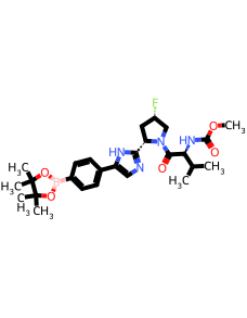 COC(=O)N[C@H](C(=O)N1C[C@@H](F)C[C@H]1c1ncc(-c2ccc(B3OC(C)(C)C(C)(C)O3)cc2)[nH]1)C(C)C